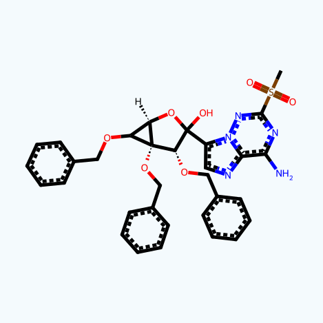 CS(=O)(=O)c1nc(N)c2ncc(C3(O)O[C@@H]4C(OCc5ccccc5)[C@]4(OCc4ccccc4)[C@H]3OCc3ccccc3)n2n1